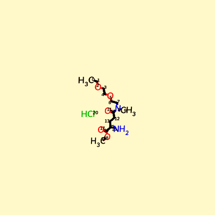 CCOCCOCCN(C)C(=O)CC[C@H](N)C(=O)OC.Cl